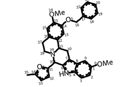 COc1ccc2[nH]c3c(c2c1)CC1c2cc(OCc4ccccc4)c(OC)cc2CCN1C3c1ccc(C)o1